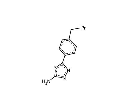 CC(C)Cc1ccc(-c2nnc(N)s2)cc1